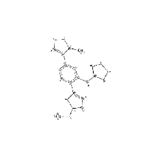 CN1CCN=C1c1ccc(C2=NOC(CN)C2)c(OC2CCCC2)c1